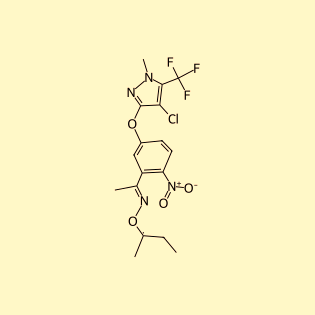 CC[C](C)ON=C(C)c1cc(Oc2nn(C)c(C(F)(F)F)c2Cl)ccc1[N+](=O)[O-]